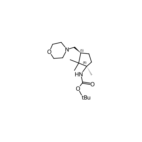 CC(C)(C)OC(=O)N[C@]1(C)CC[C@H](CN2CCOCC2)C1(C)C